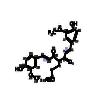 CC(=O)OCCCC(C(=O)/C=C/c1ccc(O)c(OC(F)(F)F)c1)C(=O)/C=C/c1ccc(O)c(OC(F)(F)F)c1